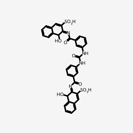 O=C(Nc1cccc(C(=O)N=C2C(S(=O)(=O)O)=Cc3ccccc3C2O)c1)Nc1cccc(C(=O)N=C2C(S(=O)(=O)O)=Cc3ccccc3C2O)c1